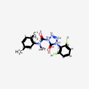 Cc1ccc(C)c(N(C(=O)n2nnn(-c3c(F)cccc3F)c2=O)C(C)C)c1